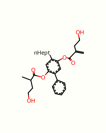 C=C(CCO)C(=O)Oc1cc(-c2ccccc2)c(OC(=O)C(C)CCO)cc1CCCCCCC